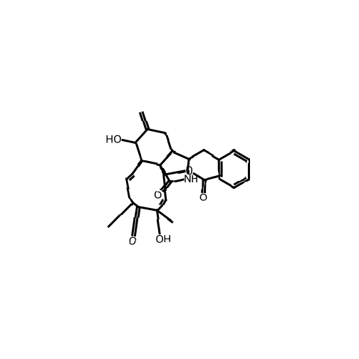 C=C1CC2C(Cc3ccccc3)NC(=O)C23C(OC(C)=O)/C=C/C(C)(O)C(=O)C(C)C/C=C/C3C1O